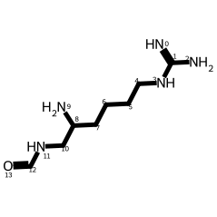 N=C(N)NCCCCC(N)CNC=O